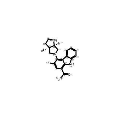 NC(=O)c1cc(F)c(N2C[C@H]3CCN[C@H]3C2)c2c1[nH]c1ccccc12